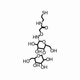 O=C(CON[C@@H]1OC(CO)[C@@H](O[C@H]2OC(CO)[C@@H](O)[C@H](O)C2O)C(O)C1O)NCCS